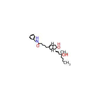 CCCC[C@](C)(O)C/C=C/[C@@H]1[C@H]2CC(CCCCC(=O)NCc3ccccc3)=C[C@H]2C[C@H]1O